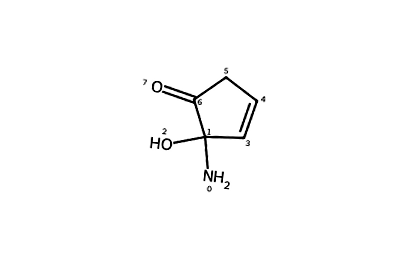 NC1(O)C=CCC1=O